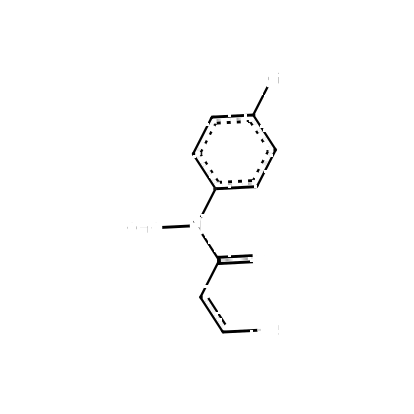 C/C=C\C(=O)N(C=O)c1ccc(Cl)cc1